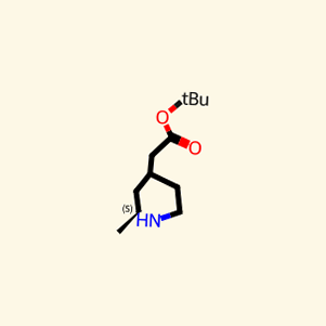 C[C@H]1CC(CC(=O)OC(C)(C)C)CCN1